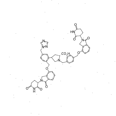 O=C1CCC(N2Cc3c(OCc4ccc(CN5CC(c6cc(Cn7cncn7)ccc6COc6cccc7c6CN(C6CCC(=O)NC6=O)C7=O)C[C@@H]5C(=O)O)cc4)cccc3C2=O)C(=O)N1